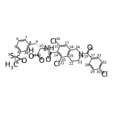 CS(=O)(=S)c1cccc(C[C@H](NC(=O)c2c(Cl)cc3c(c2Cl)CCN(C(=O)c2ccc(Cl)cc2)C3)C(=O)O)c1